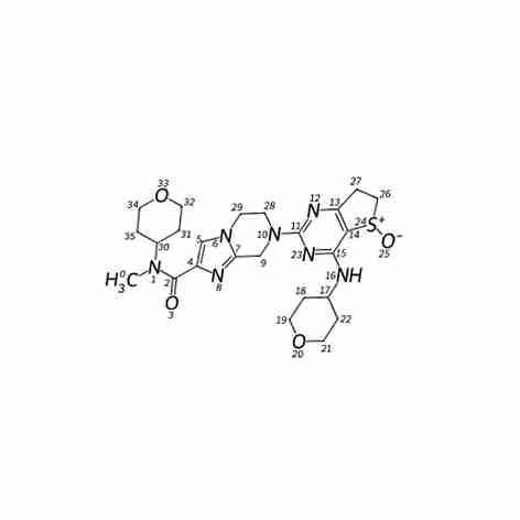 CN(C(=O)c1cn2c(n1)CN(c1nc3c(c(NC4CCOCC4)n1)[S+]([O-])CC3)CC2)C1CCOCC1